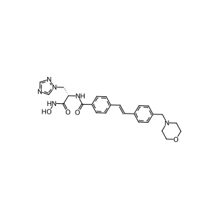 O=C(N[C@@H](Cn1cncn1)C(=O)NO)c1ccc(/C=C/c2ccc(CN3CCOCC3)cc2)cc1